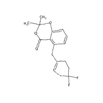 CC1(C)OC(=O)c2c(CC3=CCC(F)(F)CC3)cccc2O1